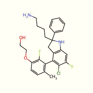 Cc1ccc(OCCO)c(F)c1-c1c(Cl)c(F)cc2c1CC(CCCCN)(c1ccccc1)N2